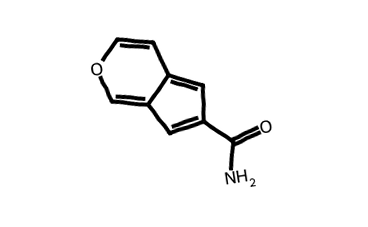 NC(=O)c1cc2ccocc-2c1